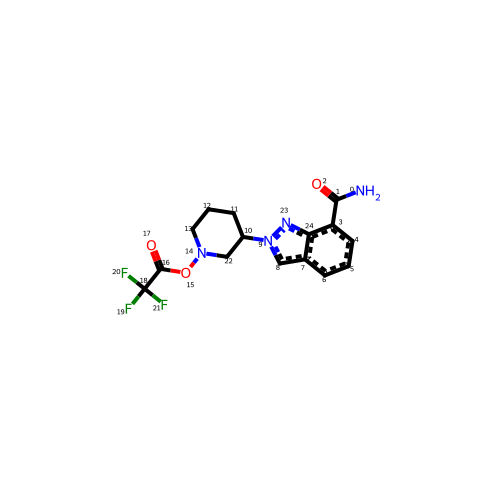 NC(=O)c1cccc2cn(C3CCCN(OC(=O)C(F)(F)F)C3)nc12